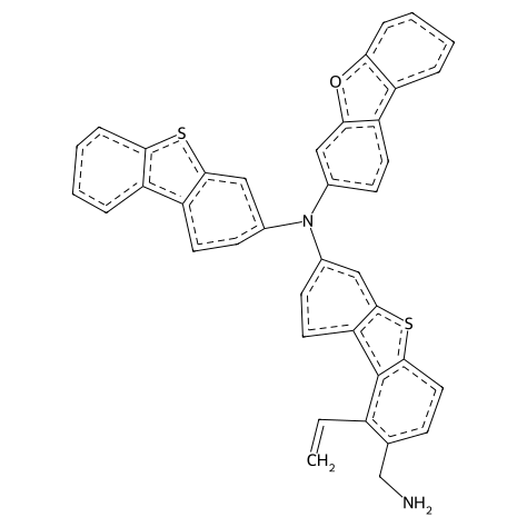 C=Cc1c(CN)ccc2sc3cc(N(c4ccc5c(c4)oc4ccccc45)c4ccc5c(c4)sc4ccccc45)ccc3c12